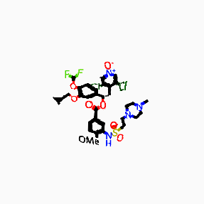 COc1ccc(C(=O)O[C@@H](Cc2c(Cl)c[n+]([O-])cc2Cl)c2ccc(OC(F)F)c(OCC3CC3)c2)cc1NS(=O)(=O)CCN1CCN(C)CC1